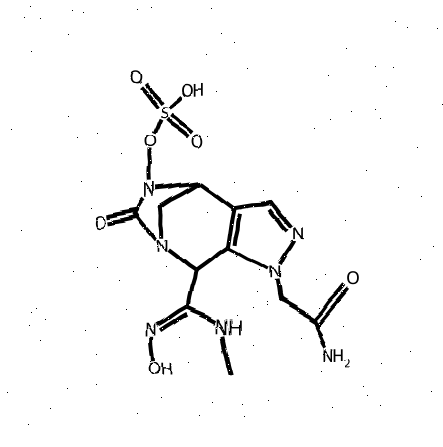 CN/C(=N\O)C1c2c(cnn2CC(N)=O)C2CN1C(=O)N2OS(=O)(=O)O